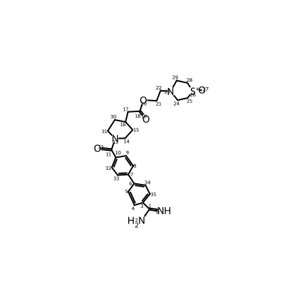 N=C(N)c1ccc(-c2ccc(C(=O)N3CCC(CC(=O)OCCN4CC[S+]([O-])CC4)CC3)cc2)cc1